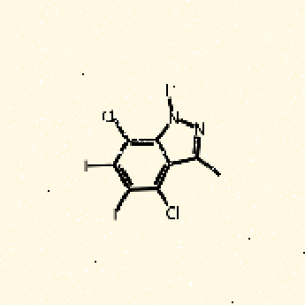 Cc1nn(I)c2c(Cl)c(I)c(I)c(Cl)c12